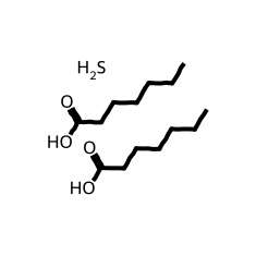 CCCCCCC(=O)O.CCCCCCC(=O)O.S